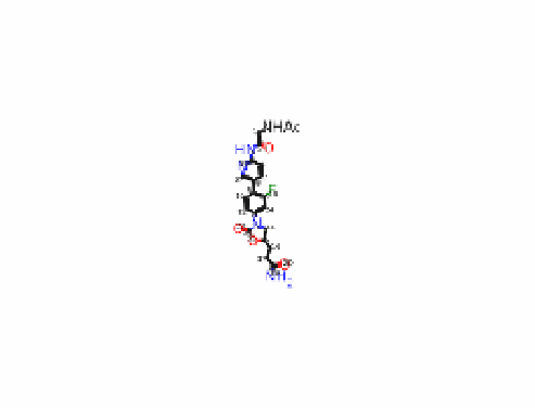 CC(=O)NCC(=O)Nc1ccc(-c2ccc(N3CC(CCC(N)=O)OC3=O)cc2F)cn1